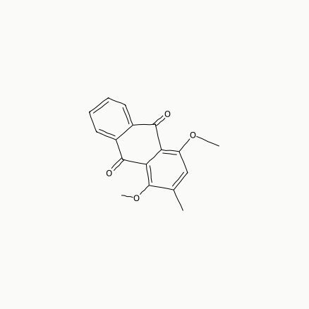 COc1cc(C)c(OC)c2c1C(=O)c1ccccc1C2=O